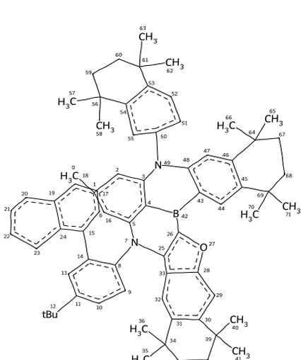 Cc1cc2c3c(c1)N(c1ccc(C(C)(C)C)cc1-c1cccc4ccccc14)c1c(oc4cc5c(cc14)C(C)(C)CCC5(C)C)B3c1cc3c(cc1N2c1ccc2c(c1)C(C)(C)CCC2(C)C)C(C)(C)CCC3(C)C